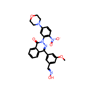 COc1cc(/C=N/O)cc(-c2nn(-c3cc(N4CCOCC4)ccc3[N+](=O)[O-])c(=O)c3ccccc23)c1